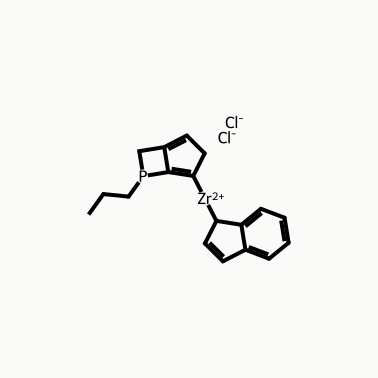 CCCP1CC2=CC[C]([Zr+2][CH]3C=Cc4ccccc43)=C21.[Cl-].[Cl-]